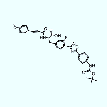 COc1ccc(C#CC(=O)N[C@H](Cc2ccc(-c3noc(-c4ccc(NC(=O)OC(C)(C)C)cc4)n3)c(F)c2)C(=O)O)cc1